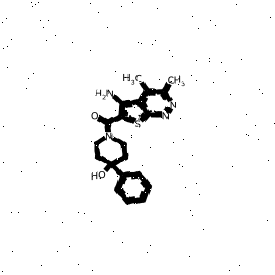 Cc1nnc2sc(C(=O)N3CCC(O)(c4ccccc4)CC3)c(N)c2c1C